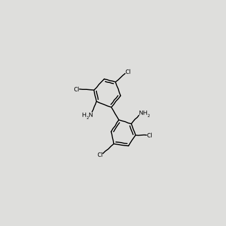 Nc1c(Cl)cc(Cl)cc1-c1cc(Cl)cc(Cl)c1N